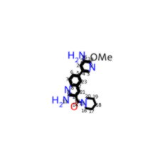 COc1ncc(-c2ccc3nc(N)c(C(=O)N4CCCCC4)cc3c2)cc1N